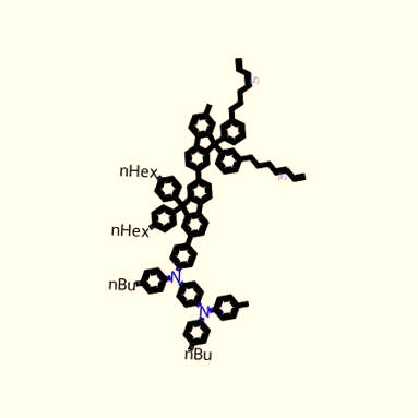 C=C/C=C\CCCc1cccc(C2(c3cccc(CCC/C=C/C=C)c3)c3cc(C)ccc3-c3ccc(-c4ccc5c(c4)C(c4ccc(CCCCCC)cc4)(c4ccc(CCCCCC)cc4)c4cc(-c6ccc(N(c7ccc(CCCC)cc7)c7ccc(N(c8ccc(C)cc8)c8ccc(CCCC)cc8)cc7)cc6)ccc4-5)cc32)c1